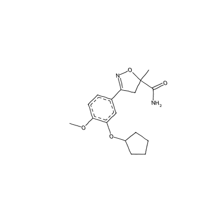 COc1ccc(C2=NOC(C)(C(N)=O)C2)cc1OC1CCCC1